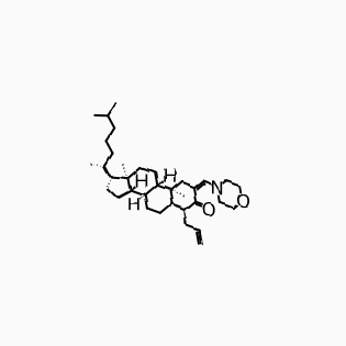 C=CC[C@@H]1C(=O)/C(=C\N2CCOCC2)C[C@@]2(C)C1CC[C@H]1[C@@H]3CC[C@H]([C@H](C)CCCC(C)C)[C@@]3(C)CC[C@@H]12